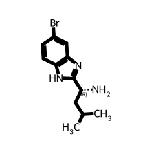 CC(C)C[C@@H](N)c1nc2cc(Br)ccc2[nH]1